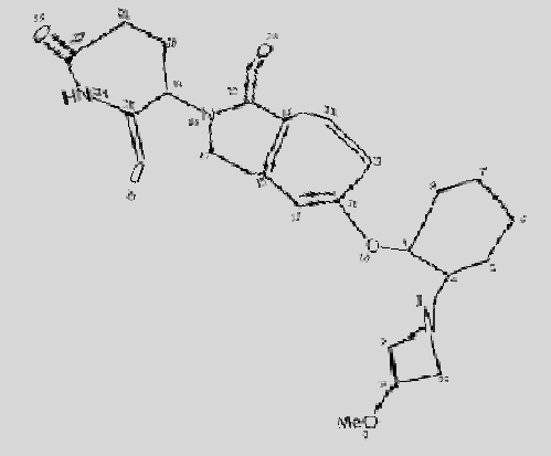 COC1CN(C2CCCCC2Oc2ccc3c(c2)CN(C2CCC(=O)NC2=O)C3=O)C1